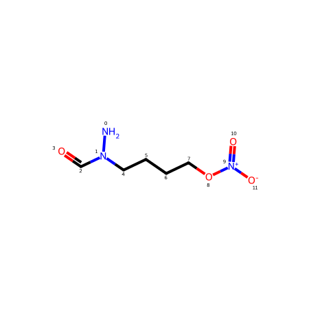 NN(C=O)CCCCO[N+](=O)[O-]